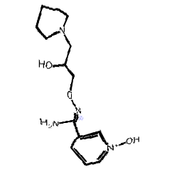 N/C(=N\OCC(O)CN1CCCCC1)c1ccc[n+](O)c1